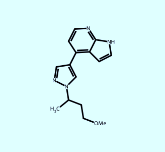 COCCC(C)n1cc(-c2ccnc3[nH]ccc23)cn1